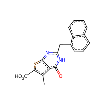 Cc1c(C(=O)O)sc2nc(Cc3cccc4ccccc34)[nH]c(=O)c12